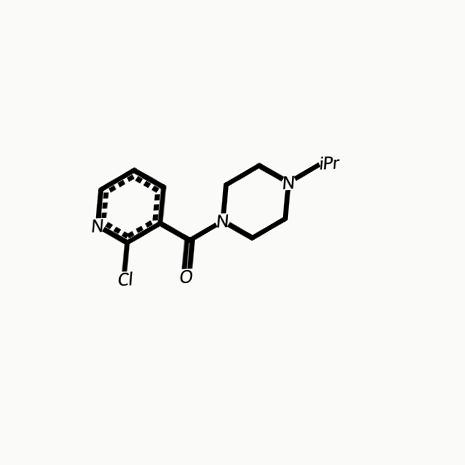 CC(C)N1CCN(C(=O)c2cccnc2Cl)CC1